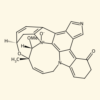 CO[C@H]1[C@]2(C)/C=C\Cn3c4c(c5c6c(c7c(c53)[N+]1([O-])C1=C7C=C[C@@H](C1)O2)C=NC=6)C(=O)CCC=4